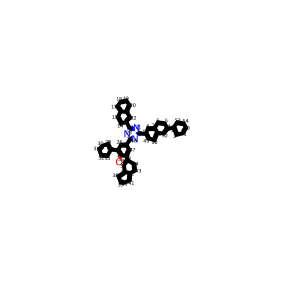 c1ccc(-c2ccc3cc(-c4nc(-c5ccc6ccccc6c5)nc(-c5cc(-c6ccccc6)c6oc7c8ccccc8ccc7c6c5)n4)ccc3c2)cc1